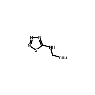 CCCCCNc1nnns1